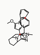 COc1cc(C(=O)N2C3CCCC2c2nn(C)c(-c4ccccc4)c2C3)nn1-c1ccccc1